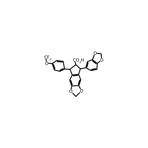 O=C(O)C1C(c2ccc(OC(F)(F)F)cc2)c2cc3c(cc2C1c1ccc2c(c1)OCO2)OCO3